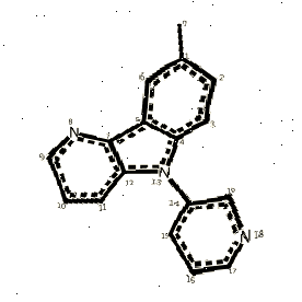 Cc1ccc2c(c1)c1ncccc1n2-c1cccnc1